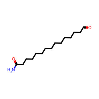 NC(=O)CCCCCCCCCCCCCC=O